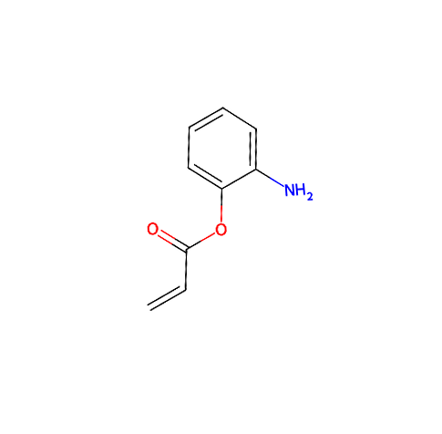 C=CC(=O)Oc1ccccc1N